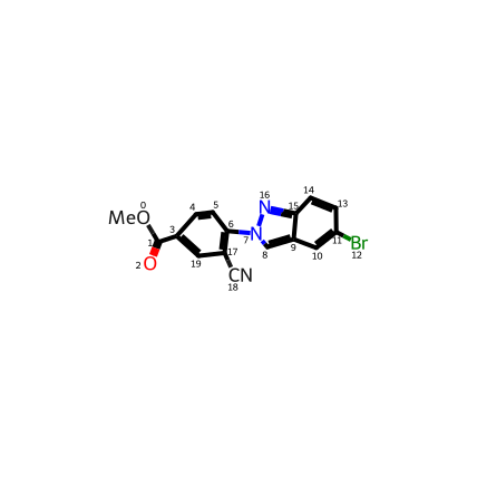 COC(=O)c1ccc(-n2cc3cc(Br)ccc3n2)c(C#N)c1